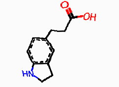 O=C(O)CCc1ccc2c(c1)CCN2